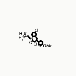 COc1ccc(C2Cc3cc(Cl)ccc3N(CCN(C)C)C(=O)C2C)cc1